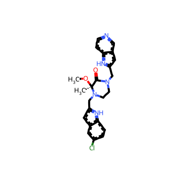 CO[C@@]1(C)C(=O)N(Cc2cc3cnccc3[nH]2)CCN1Cc1cc2cc(Cl)ccc2[nH]1